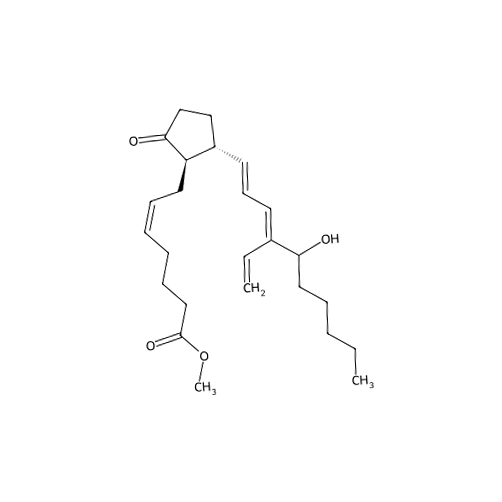 C=C/C(=C\C=C\[C@H]1CCC(=O)[C@@H]1C/C=C\CCCC(=O)OC)C(O)CCCCC